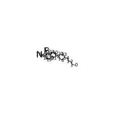 CCCCC[C@H]1CC[C@H](c2ccc3c(F)c(C#N)ccc3c2)CC1